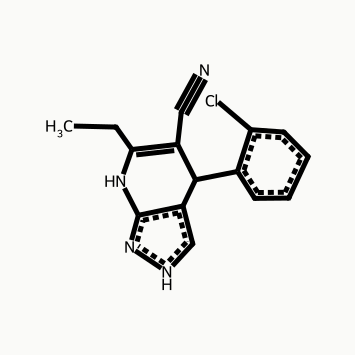 CCC1=C(C#N)C(c2ccccc2Cl)c2c[nH]nc2N1